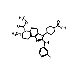 COC(=O)N1c2ccc3c(nc(Nc4ccc(F)c(F)c4)n3C3CCC(C(=O)O)CC3)c2CC[C@@H]1C